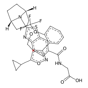 O=C(O)CNC(=O)c1ccc2nc(N3[C@@H]4CC[C@H]3C[C@@H](OCc3c(-c5ccccc5OC(F)(F)F)noc3C3CC3)C4)sc2c1